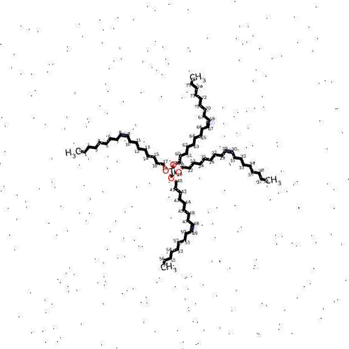 CCCCCCCC/C=C\CCCCCCCC[O][Ti]([O]CCCCCCCC/C=C\CCCCCCCC)([O]CCCCCCCC/C=C\CCCCCCCC)[O]CCCCCCCC/C=C\CCCCCCCC